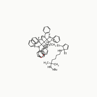 CCCCNC(C)(C)CCCCNC1(CC)C=CC=C1CC.C[PH](C)(C)C(N(F)c1ccccc1)(N(F)c1ccccc1)C(N(F)c1ccccc1)(N(F)c1ccccc1)C(N(F)c1ccccc1)(N(F)c1ccccc1)N(F)c1ccccc1